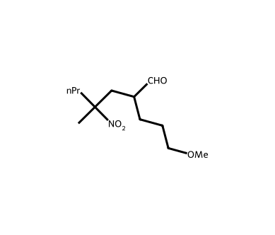 CCCC(C)(CC(C=O)CCCOC)[N+](=O)[O-]